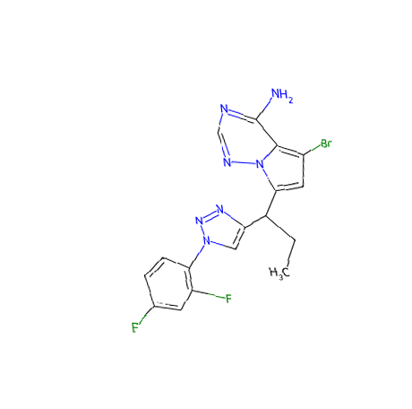 CCC(c1cn(-c2ccc(F)cc2F)nn1)c1cc(Br)c2c(N)ncnn12